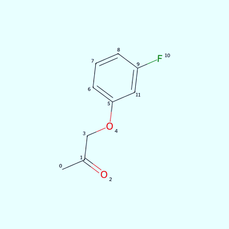 CC(=O)COc1cccc(F)c1